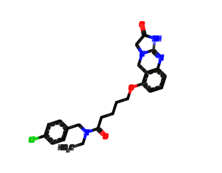 O=C(O)CN(Cc1ccc(Cl)cc1)C(=O)CCCCOc1cccc2c1CN1CC(=O)NC1=N2